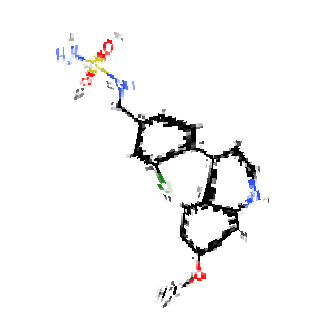 COc1ccc2c(-c3ccc(CNS(N)(=O)=O)cc3Cl)ccnc2c1